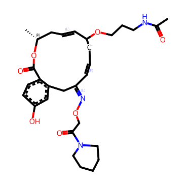 CC(=O)NCCCOC1/C=C/C[C@@H](C)OC(=O)c2ccc(O)cc2CC(=N\OCC(=O)N2CCCCC2)/C=C/C1